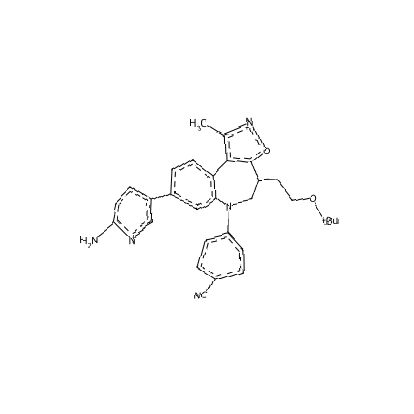 Cc1noc2c1-c1ccc(-c3ccc(N)nc3)cc1N(c1ccc(C#N)cc1)CC2CCOC(C)(C)C